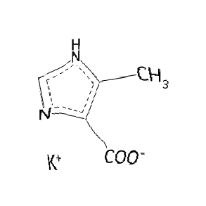 Cc1[nH]cnc1C(=O)[O-].[K+]